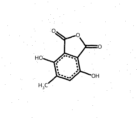 Cc1cc(O)c2c(c1O)C(=O)OC2=O